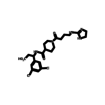 O=C(O)CC(NC(=O)C1CCN(C(=O)CCCNC2=NCCN2)CC1)c1cc(Cl)cc(Cl)c1